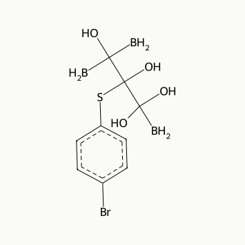 BC(B)(O)C(O)(Sc1ccc(Br)cc1)C(B)(O)O